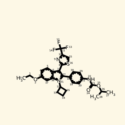 CCOc1ccc2c(-c3nc(C(F)(F)F)cs3)c(-c3ccc(NC(=O)OC(C)C)cc3)n(C3CCC3)c2c1